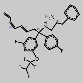 C=C/C=C\C=C\C[C@@](NC[C@H](N)Cc1ccccc1)(c1ccc(F)cc1)c1cc(F)cc(OC(F)(F)C(F)F)c1